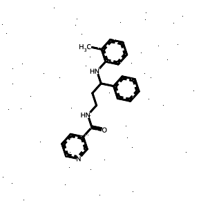 Cc1ccccc1NC(CCNC(=O)c1cccnc1)c1ccccc1